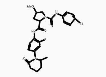 COC1CC(C(=O)Nc2ccc(N3C(=O)CCCC3C)cc2F)N(C(=O)Nc2ccc(Cl)cc2)C1